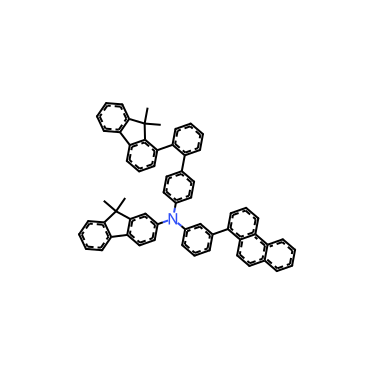 CC1(C)c2ccccc2-c2ccc(N(c3ccc(-c4ccccc4-c4cccc5c4C(C)(C)c4ccccc4-5)cc3)c3cccc(-c4cccc5c4ccc4ccccc45)c3)cc21